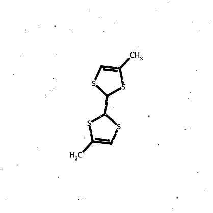 CC1=CSC(C2SC=C(C)S2)S1